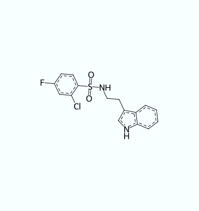 O=S(=O)(NCCc1c[nH]c2ccccc12)c1ccc(F)cc1Cl